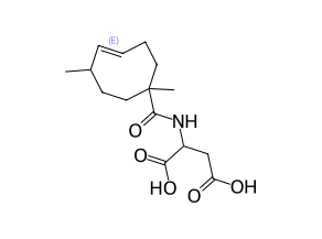 CC1/C=C/CCC(C)(C(=O)NC(CC(=O)O)C(=O)O)CC1